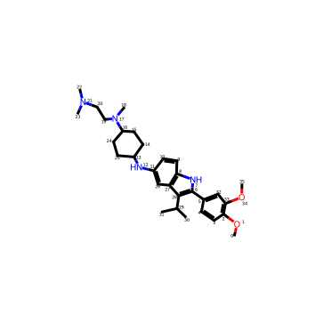 COc1ccc(-c2[nH]c3ccc(NC4CCC(N(C)CCN(C)C)CC4)cc3c2C(C)C)cc1OC